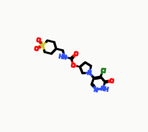 O=C(NCC1CCS(=O)(=O)CC1)O[C@@H]1CCN(c2cn[nH]c(=O)c2Cl)C1